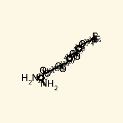 Nc1cc(N)cc(C(=O)OCCCCOC(=O)/C=C/c2ccc(OC(=O)c3ccc(OCCCCC(F)(F)F)cc3)cc2)c1